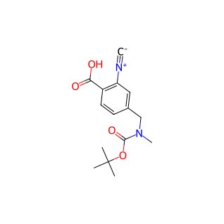 [C-]#[N+]c1cc(CN(C)C(=O)OC(C)(C)C)ccc1C(=O)O